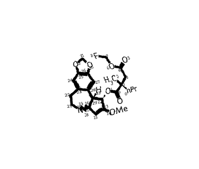 CCC[C@@](C)(CC(=O)OCF)C(=O)O[C@@H]1C(OC)=C[C@]23CCCN2CCc2cc4c(cc2[C@H]13)OCO4